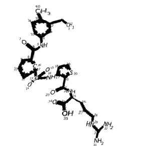 CCc1cc(NC(=O)c2cccc(S(=O)(=O)Nc3ccsc3C(=O)N[C@@H](CCCNC(N)N)C(=O)O)c2)ccc1C